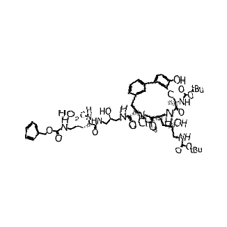 CN1C(=O)[C@H](C[C@@H](O)CNC(=O)OC(C)(C)C)NC(=O)[C@@H](NC(=O)OC(C)(C)C)Cc2cc(ccc2O)-c2cccc(c2)C[C@H]1C(=O)NCC(O)CNC(=O)[C@H](CCCNC(=O)OCc1ccccc1)NC(=O)O